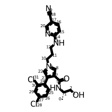 C[C@@H](CO)NC(=O)c1cn(CCCNc2ccc(C#N)cn2)cc1-c1ccc(Cl)cc1Cl